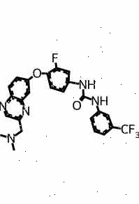 CN(C)Cc1cnc2ccc(Oc3ccc(NC(=O)Nc4cccc(C(F)(F)F)c4)cc3F)cc2n1